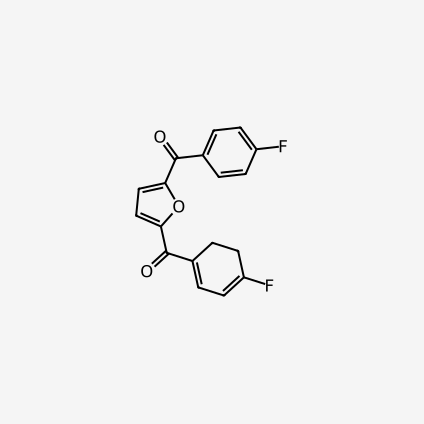 O=C(C1=CC=C(F)CC1)c1ccc(C(=O)c2ccc(F)cc2)o1